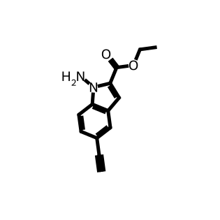 C#Cc1ccc2c(c1)cc(C(=O)OCC)n2N